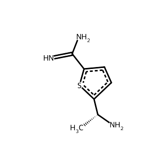 C[C@@H](N)c1ccc(C(=N)N)s1